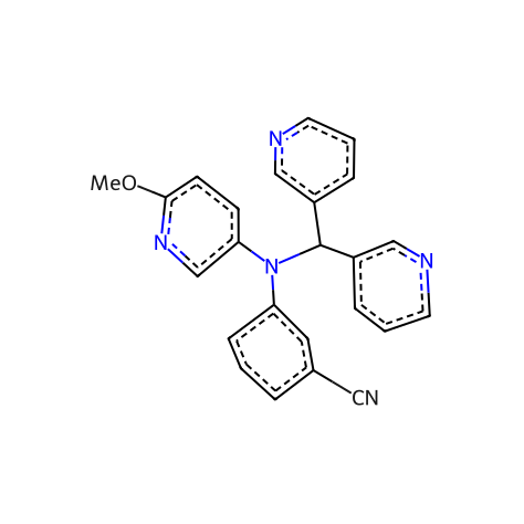 COc1ccc(N(c2cccc(C#N)c2)C(c2cccnc2)c2cccnc2)cn1